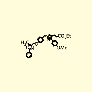 CCOC(=O)CCc1cn(Cc2ccc(OCc3nc(-c4ccccc4)oc3C)cc2)nc1-c1ccc(OC)cc1